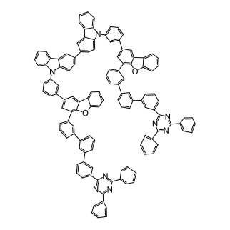 c1ccc(-c2nc(-c3ccccc3)nc(-c3cccc(-c4cccc(-c5cccc(-c6cc(-c7cccc(-n8c9ccccc9c9cc(-c%10ccc%11c(c%10)c%10ccccc%10n%11-c%10cccc(-c%11cc(-c%12cccc(-c%13cccc(-c%14cccc(-c%15nc(-c%16ccccc%16)nc(-c%16ccccc%16)n%15)c%14)c%13)c%12)c%12oc%13ccccc%13c%12c%11)c%10)ccc98)c7)cc7c6oc6ccccc67)c5)c4)c3)n2)cc1